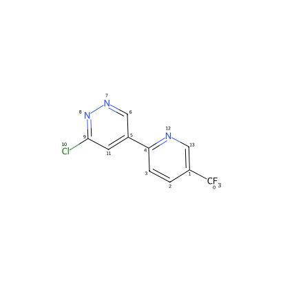 FC(F)(F)c1ccc(-c2cnnc(Cl)c2)nc1